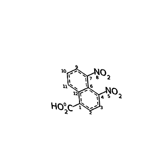 O=C(O)c1ccc([N+](=O)[O-])c2c([N+](=O)[O-])cccc12